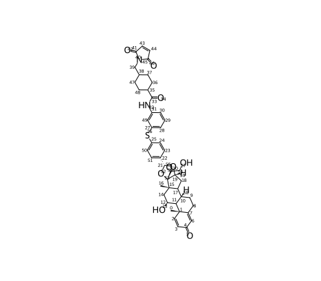 C[C@]12C=CC(=O)C=C1CC[C@@H]1C2[C@@H](O)C[C@@]2(C)C1C[C@H]1O[C@@H](c3ccc(Sc4cccc(NC(=O)C5CCC(CN6C(=O)C=CC6=O)CC5)c4)cc3)O[C@]12C(=O)CO